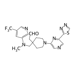 CN(CC1(CC=O)CCN(c2cncc(-c3nncs3)n2)CC1)c1cncc(C(F)(F)F)c1